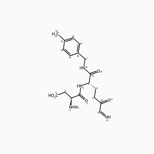 CC(=O)N[C@@H](CC(=O)O)C(=O)N[C@@H](CCC(=O)C=N)C(=O)NCc1ccc(C)cc1